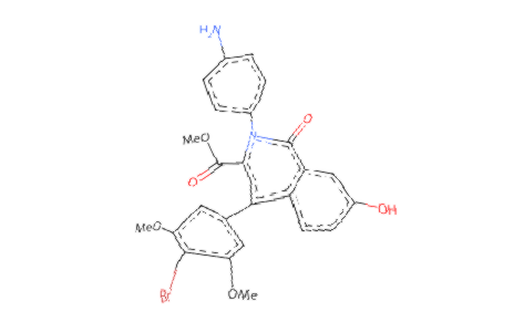 COC(=O)c1c(-c2cc(OC)c(Br)c(OC)c2)c2ccc(O)cc2c(=O)n1-c1ccc(N)cc1